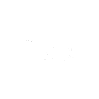 COc1ccc(-c2ccn[nH]c2=O)cc1.Cl